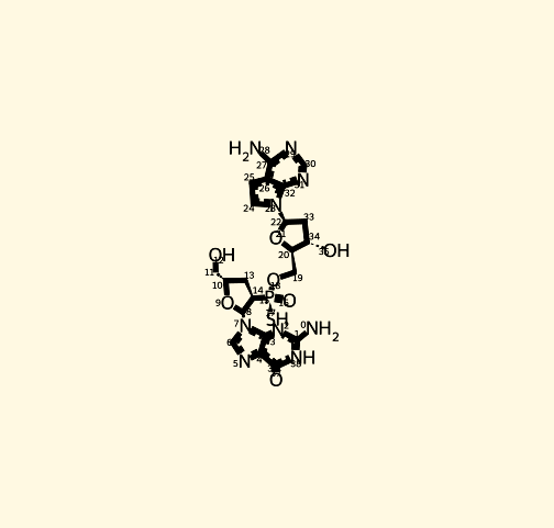 Nc1nc2c(ncn2[C@@H]2O[C@H](CO)C[C@H]2[P@](=O)(S)OC[C@H]2O[C@@H](n3ccc4c(N)ncnc43)C[C@@H]2O)c(=O)[nH]1